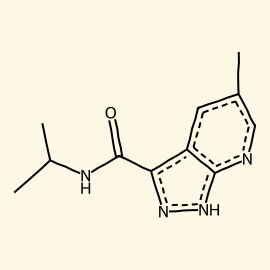 Cc1cnc2[nH]nc(C(=O)NC(C)C)c2c1